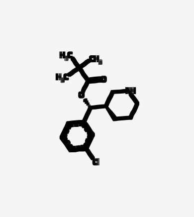 CC(C)(C)C(=O)O[C@@H](c1cccc(Cl)c1)[C@@H]1CCCNC1